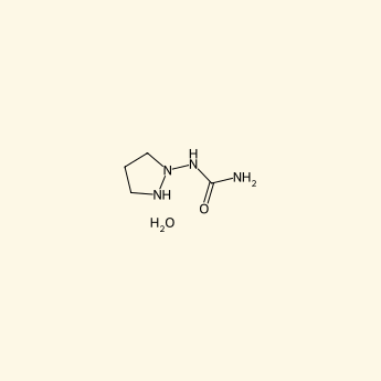 NC(=O)NN1CCCN1.O